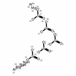 O=[Si]([O-])[O-].O=[Si]([O-])[O-].O=[Si]([O-])[O-].O=[Si]([O-])[O-].O=[Si]([O-])[O-].[Al+3].[Al+3].[Mg+2].[Mg+2].[NaH].[NaH]